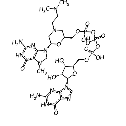 CN(C)CCN1C[C@@H](COP(=O)(O)OP(=O)(O)OP(=O)(O)OC[C@H]2O[C@@H](n3cnc4c(=O)[nH]c(N)nc43)[C@H](O)[C@@H]2O)O[C@@H](N2CN(C)c3c2nc(N)[nH]c3=O)C1